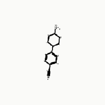 N#Cc1ccc(C2CCC(N)CC2)cc1